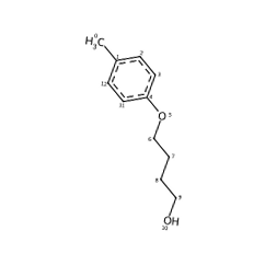 Cc1ccc(OCCCCO)cc1